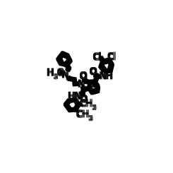 CC1CCCC(NC(=O)C2N(CCCN(C)Cc3ccccc3)C(=O)C3C(C(=O)Nc4ccc(Cl)c(Cl)c4)C4C=CC32O4)C1C